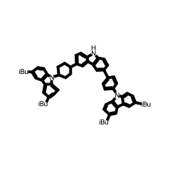 CCC(C)c1ccc2c(c1)c1cc(C(C)CC)ccc1n2-c1ccc(-c2ccc3[nH]c4ccc(C5CCC(n6c7ccc(C(C)CC)cc7c7cc(C(C)CC)ccc76)CC5)cc4c3c2)cc1